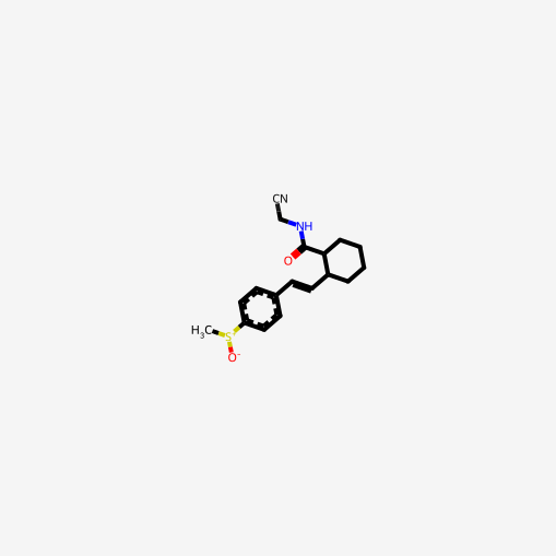 C[S+]([O-])c1ccc(C=CC2CCCCC2C(=O)NCC#N)cc1